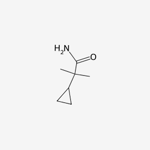 CC(C)(C(N)=O)C1CC1